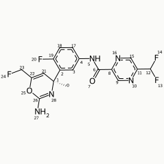 C[C@@]1(c2cc(NC(=O)c3cnc(C(F)F)cn3)ccc2F)C=C(CF)OC(N)=N1